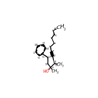 CCCCCCC#CC(C)C(C)(O)CCc1ccccc1